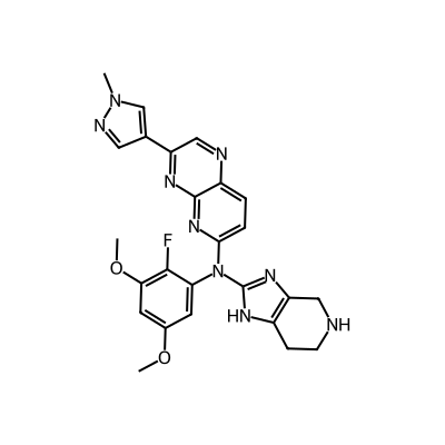 COc1cc(OC)c(F)c(N(c2ccc3ncc(-c4cnn(C)c4)nc3n2)c2nc3c([nH]2)CCNC3)c1